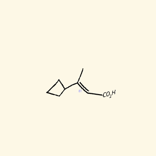 C/C(=C\C(=O)O)C1CCC1